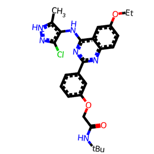 CCOc1ccc2nc(-c3cccc(OCC(=O)NC(C)(C)C)c3)nc(Nc3c(Cl)n[nH]c3C)c2c1